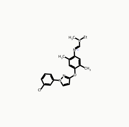 CCN(C)/C=N/c1cc(C)c(Oc2ccn(-c3cccc(Cl)c3)n2)cc1C